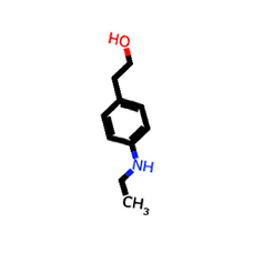 CCNc1ccc(CCO)cc1